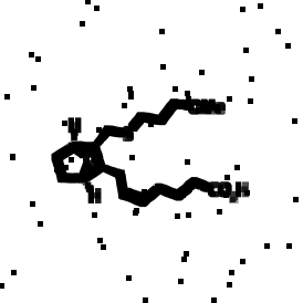 COCCCSC[C@H]1[C@@H](C/C=C\CCCC(=O)O)[C@H]2CC[C@@H]1O2